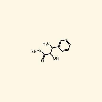 CCSC(=O)C(O)C(C)c1ccccc1